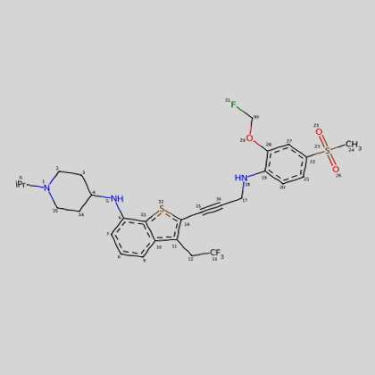 CC(C)N1CCC(Nc2cccc3c(CC(F)(F)F)c(C#CCNc4ccc(S(C)(=O)=O)cc4OCF)sc23)CC1